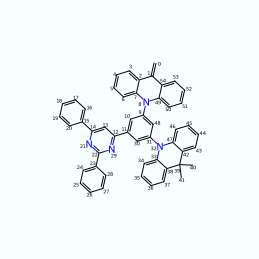 C=C1c2ccccc2N(c2cc(-c3cc(-c4ccccc4)nc(-c4ccccc4)n3)cc(N3c4ccccc4C(C)(C)c4ccccc43)c2)c2ccccc21